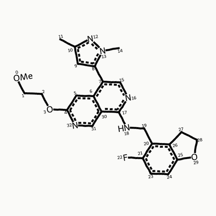 COCCOc1cc2c(-c3cc(C)nn3C)cnc(NCc3c(F)ccc4c3CCO4)c2cn1